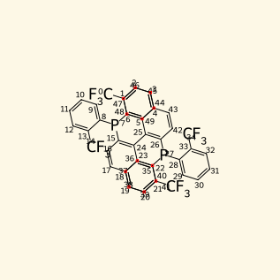 FC(F)(F)c1ccccc1P(c1ccccc1C(F)(F)F)c1ccc2ccccc2c1-c1c(P(c2ccccc2C(F)(F)F)c2ccccc2C(F)(F)F)ccc2ccccc12